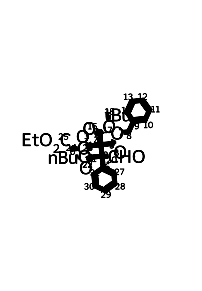 CCCCOC(=O)C(C(=O)OCc1ccccc1)(C(=O)OC(C)(C)C)C([C]=O)(C(=O)OCC(=O)OCC)c1ccccc1